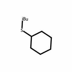 CCC(C)SC1CCCCC1